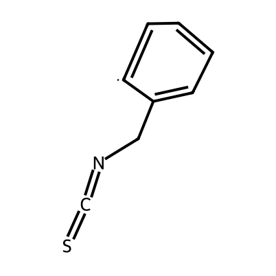 S=C=NCc1[c]cccc1